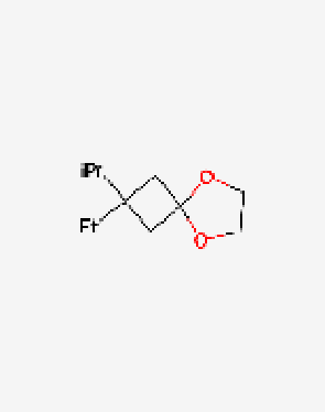 CCC1(C(C)C)CC2(C1)OCCO2